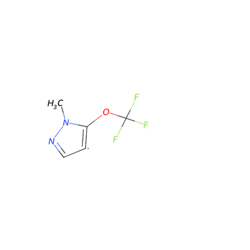 Cn1nc[c]c1OC(F)(F)F